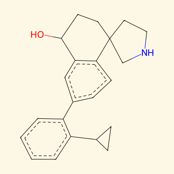 OC1CCC2(CCNC2)c2ccc(-c3ccccc3C3CC3)cc21